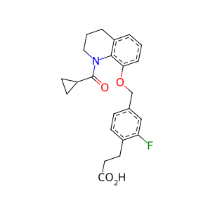 O=C(O)CCc1ccc(COc2cccc3c2N(C(=O)C2CC2)CCC3)cc1F